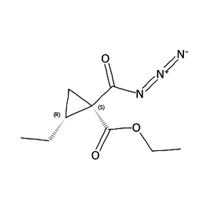 CCOC(=O)[C@@]1(C(=O)N=[N+]=[N-])C[C@H]1CC